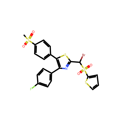 CS(=O)(=O)c1ccc(-c2sc(C(Br)S(=O)(=O)c3cccs3)nc2-c2ccc(F)cc2)cc1